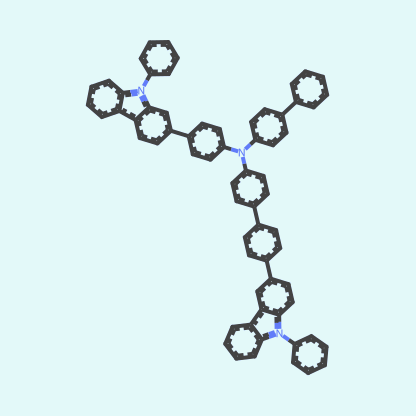 c1ccc(-c2ccc(N(c3ccc(-c4ccc(-c5ccc6c(c5)c5ccccc5n6-c5ccccc5)cc4)cc3)c3ccc(-c4ccc5c6ccccc6n(-c6ccccc6)c5c4)cc3)cc2)cc1